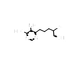 C=CC(CCCc1ncnc(C)c1N)C(C)C